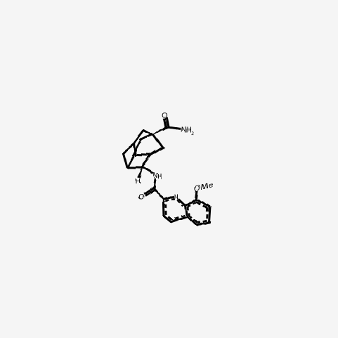 COc1cccc2ccc(C(=O)N[C@H]3C4CC5CC3C[C@](C(N)=O)(C5)C4)nc12